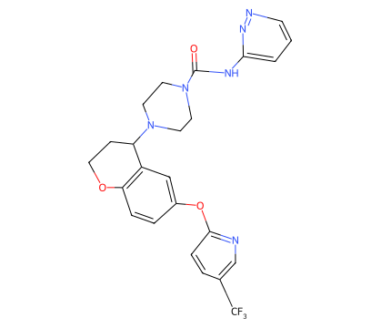 O=C(Nc1cccnn1)N1CCN(C2CCOc3ccc(Oc4ccc(C(F)(F)F)cn4)cc32)CC1